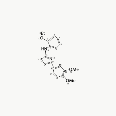 CCOc1ccccc1Nc1nc(-c2ccc(OC)c(OC)c2)cs1